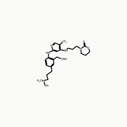 CCCN(C)CCCc1ccc(Nc2cc(NCCCN3CCCOC3=O)c(C(F)(F)F)cn2)c(COC)c1